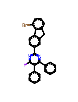 Brc1cccc2c1-c1ccc(-c3nc(I)c(-c4ccccc4)c(-c4ccccc4)n3)cc1C2